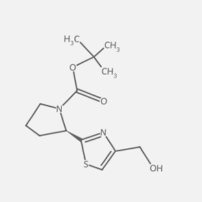 CC(C)(C)OC(=O)N1CCC[C@@H]1c1nc(CO)cs1